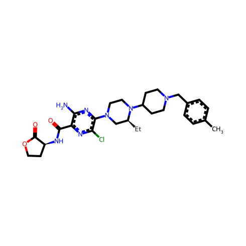 CC[C@H]1CN(c2nc(N)c(C(=O)N[C@H]3CCOC3=O)nc2Cl)CCN1C1CCN(Cc2ccc(C)cc2)CC1